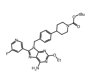 CCOc1nc(N)c2nc(-c3cncc(F)c3)n(Cc3ccc(C4CCN(C(=O)OC(C)(C)C)CC4)cc3)c2n1